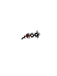 CCCCC12COC(C3CCC(c4cc(F)c(F)c(F)c4)CC3)(OC1)OC2